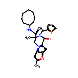 C=C(NC1CCCCCCC1)C1(C)Cn2c(cc3oc(C)cc32)C(=O)N1Cc1cccs1